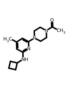 CC(=O)N1CCN(c2cc(C)cc(NC3CCC3)n2)CC1